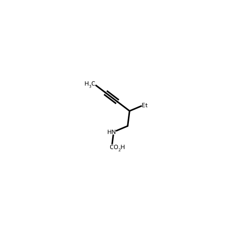 CC#CC(CC)CNC(=O)O